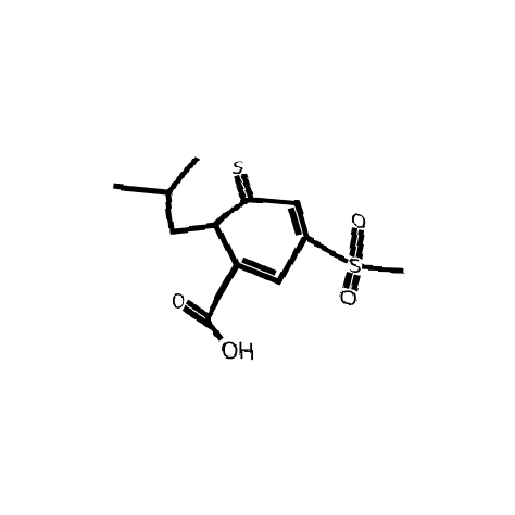 CC(C)CC1C(=S)C=C(S(C)(=O)=O)C=C1C(=O)O